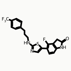 O=C1Cc2c(ccc(-c3cnc(NCCCc4ccc(C(F)(F)F)cc4)s3)c2F)N1